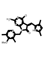 COc1c(C)cnc(CN2C(=O)/C(=C\c3[nH]c(C)cc3C)c3c(Cl)nc(N)nc32)c1C